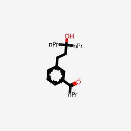 CCCC(=O)c1cccc(CCC(O)(CCC)CCC)c1